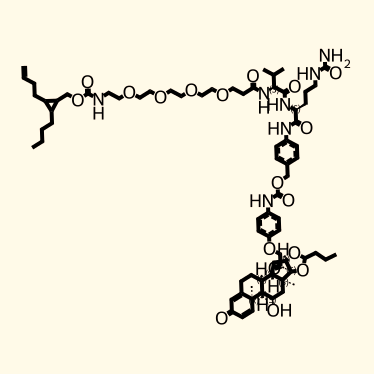 C=CCCC1C(CCCC)C1COC(=O)NCCOCCOCCOCCOCCC(=O)N[C@H](C(=O)N[C@@H](CCCNC(N)=O)C(=O)Nc1ccc(COC(=O)Nc2ccc(OCC(=O)[C@@]34OC(CCC)O[C@@H]3C[C@H]3[C@@H]5CCC6=CC(=O)C=C[C@]6(C)[C@H]5[C@@H](O)C[C@@]34C)cc2)cc1)C(C)C